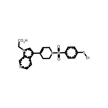 CCSc1ccc(S(=O)(=O)N2CC=C(c3cn(CC(=O)O)c4cnccc34)CC2)cc1